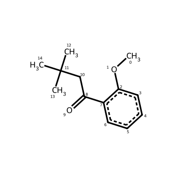 COc1ccccc1C(=O)CC(C)(C)C